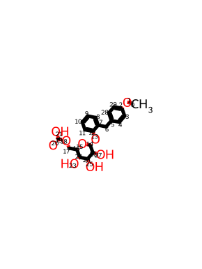 COc1ccc(Cc2ccccc2OC2OC(COC(=O)O)C(O)C(O)C2O)cc1